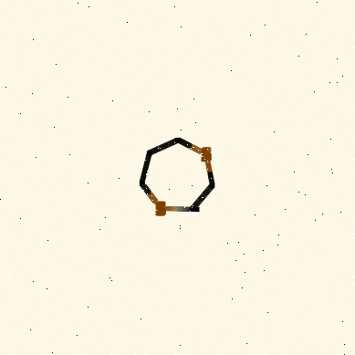 [CH]1CSCCCS1